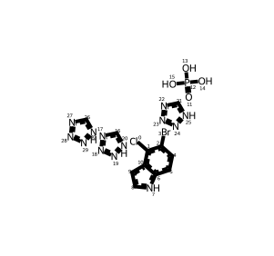 Clc1c(Br)ccc2[nH]ccc12.O=P(O)(O)O.c1nnn[nH]1.c1nnn[nH]1.c1nnn[nH]1